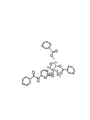 C[C@]1(O)C(OC(=O)c2ccccc2)[C@@H](COC(=O)c2ccccc2)O[C@H]1n1ccc(NC(=O)c2ccccc2)nc1=O